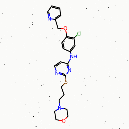 Clc1cc(Nc2ccnc(SCCCN3CCOCC3)n2)ccc1OCc1ccccn1